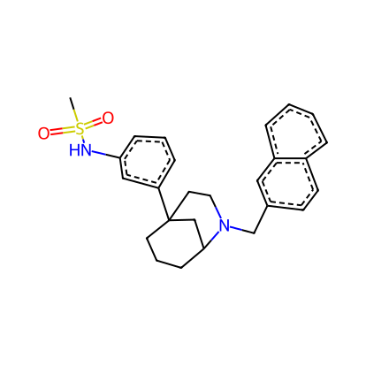 CS(=O)(=O)Nc1cccc(C23CCCC(C2)N(Cc2ccc4ccccc4c2)CC3)c1